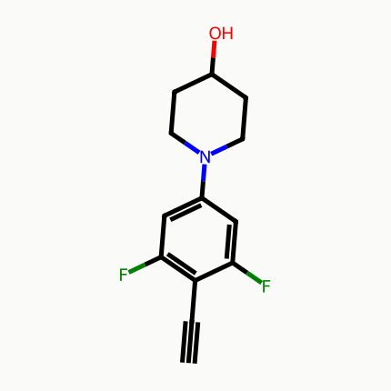 C#Cc1c(F)cc(N2CCC(O)CC2)cc1F